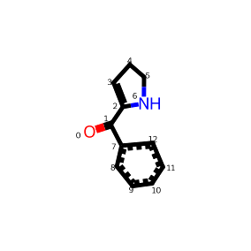 O=C(C1=CCCN1)c1ccccc1